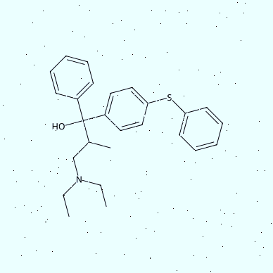 CCN(CC)CC(C)C(O)(c1ccccc1)c1ccc(Sc2ccccc2)cc1